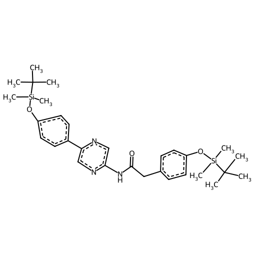 CC(C)(C)[Si](C)(C)Oc1ccc(CC(=O)Nc2cnc(-c3ccc(O[Si](C)(C)C(C)(C)C)cc3)cn2)cc1